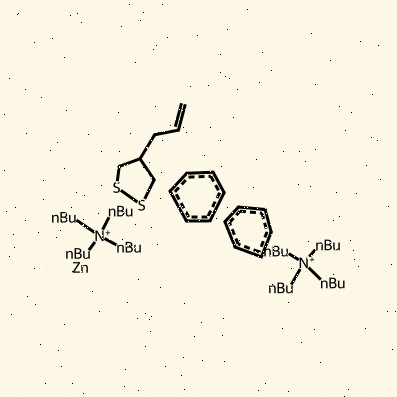 C=CCC1CSSC1.CCCC[N+](CCCC)(CCCC)CCCC.CCCC[N+](CCCC)(CCCC)CCCC.[Zn].c1ccccc1.c1ccccc1